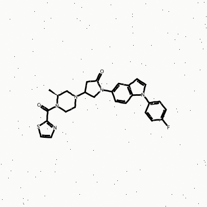 C[C@H]1CN(C2CC(=O)N(c3ccc4c(ccn4-c4ccc(F)cc4)c3)C2)CCN1C(=O)c1nccs1